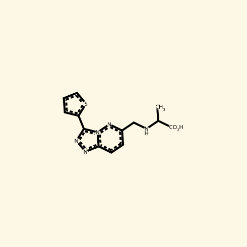 CC(NCc1ccc2nnc(-c3cccs3)n2n1)C(=O)O